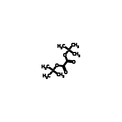 C[Si](C)(C)OC(=O)C(=O)O[Si](C)(C)C